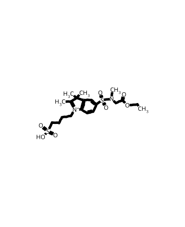 CCOC(=O)CN(C)S(=O)(=O)c1ccc2c(c1)C(C)(C)C(C)=[N+]2CCCCS(=O)(=O)O